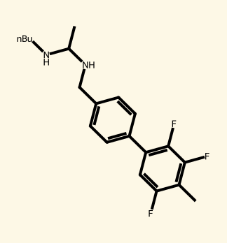 CCCCNC(C)NCc1ccc(-c2cc(F)c(C)c(F)c2F)cc1